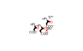 CC(C)(C)[O-].CCCC(=O)CC(=O)[O-].CCCC(=O)CC(=O)[O-].CCCC(=O)CC(=O)[O-].[Ti+4]